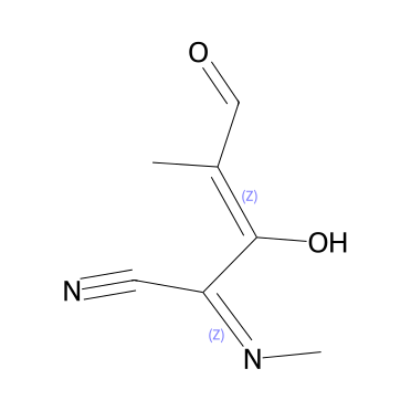 C/N=C(C#N)\C(O)=C(/C)C=O